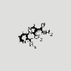 Cc1ncccc1-n1ncc(C(N)=O)c1C(F)(F)F